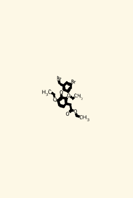 CCOC(=O)Cc1ccc(OCC)c(Oc2ccc(Br)cc2CBr)c1OCC